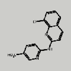 O=C(O)c1ccc(Nc2ccc3cccc(Cl)c3n2)nc1